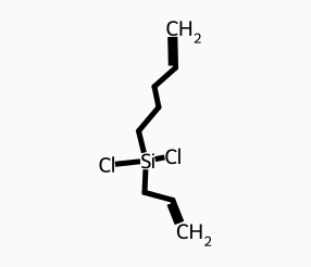 C=CCCC[Si](Cl)(Cl)CC=C